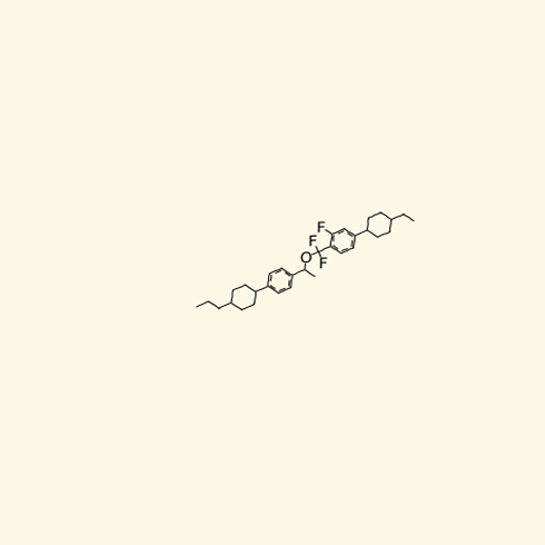 CCCC1CCC(c2ccc(C(C)OC(F)(F)c3ccc(C4CCC(CC)CC4)cc3F)cc2)CC1